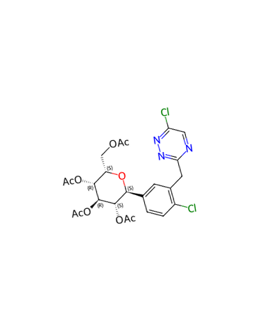 CC(=O)OC[C@@H]1O[C@@H](c2ccc(Cl)c(Cc3ncc(Cl)nn3)c2)[C@H](OC(C)=O)[C@@H](OC(C)=O)[C@@H]1OC(C)=O